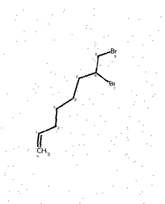 C=CCCCCC(Br)CBr